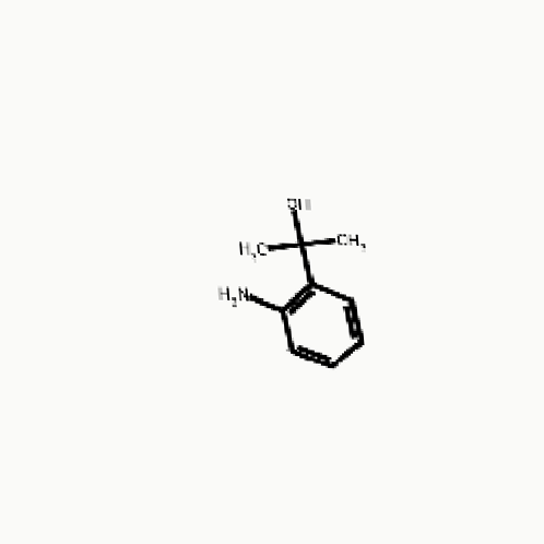 CC(C)(O)c1ccc[c]c1N